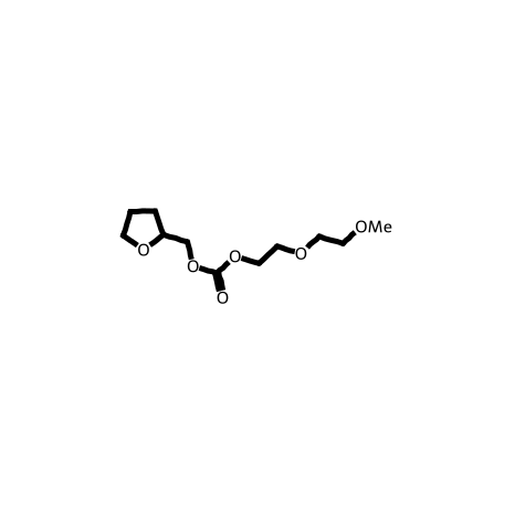 COCCOCCOC(=O)OCC1CCCO1